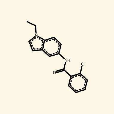 CCn1ccc2cc(NC(=O)c3ccccc3Cl)ccc21